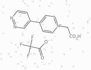 O=C(O)C[n+]1ccc(-c2ccnnc2)cc1.O=C([O-])C(F)(F)F